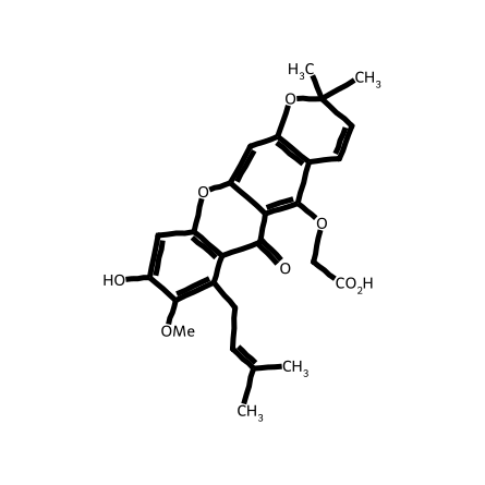 COc1c(O)cc2oc3cc4c(c(OCC(=O)O)c3c(=O)c2c1CC=C(C)C)C=CC(C)(C)O4